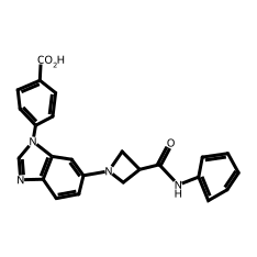 O=C(O)c1ccc(-n2cnc3ccc(N4CC(C(=O)Nc5ccccc5)C4)cc32)cc1